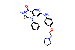 NC(=O)c1cnc(Nc2ccc(OCCN3CCCC3)cc2)cc1N(c1ccccc1)C1CC1